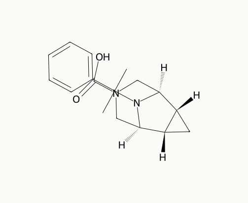 CC(C)(c1ccccc1)N1[C@@H]2CN(C(=O)O)C[C@H]1[C@@H]1C[C@@H]12